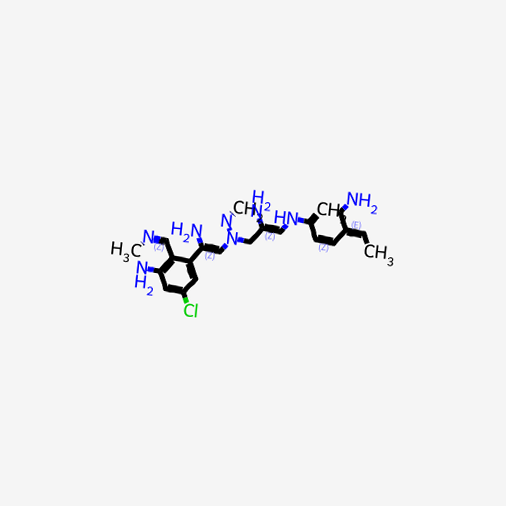 C=NN(/C=C(\N)c1cc(Cl)cc(N)c1/C=N\C)C/C(N)=C/NC(=C)/C=C\C(=C/C)CN